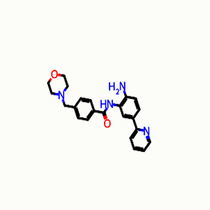 Nc1ccc(-c2ccccn2)cc1NC(=O)c1ccc(CN2CCOCC2)cc1